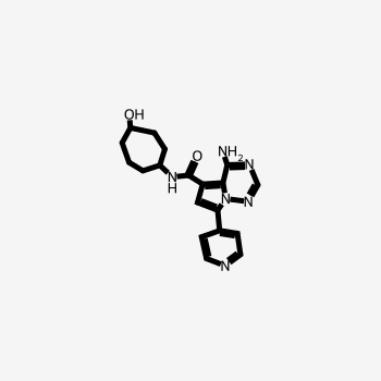 Nc1ncnn2c(-c3ccncc3)cc(C(=O)NC3CCCC(O)CC3)c12